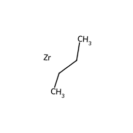 CCCC.[Zr]